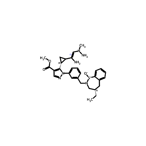 CC[C@H]1Cc2ccccc2[S+]([O-])N(Cc2cccc(-n3ncc(C(=O)OC)c3[C@@H]3CC3/C(N)=C/N(C)N)c2)C1